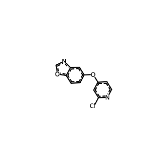 Clc1cc(Oc2ccc3ocnc3c2)ccn1